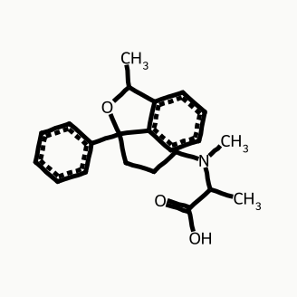 CC1OC(CCCN(C)C(C)C(=O)O)(c2ccccc2)c2ccccc21